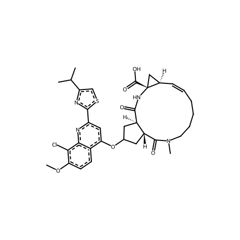 COc1ccc2c(OC3C[C@H]4C(=O)N[C@]5(C(=O)O)C[C@H]5/C=C\CCCCN(C)C(=O)[C@@H]4C3)cc(-c3nc(C(C)C)cs3)nc2c1Cl